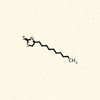 CCCCCCCCCCC1=NC(=S)SC1